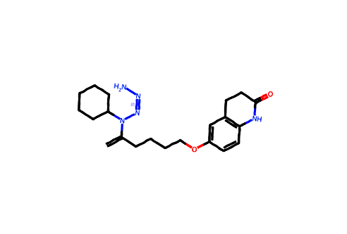 C=C(CCCCOc1ccc2c(c1)CCC(=O)N2)N(/N=N\N)C1CCCCC1